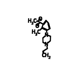 C=CCN1CCN(c2cccc(S(C)(=O)=O)c2C)CC1